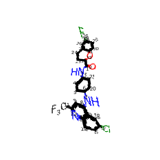 O=C(NC1=CC[C@H](Nc2cc(C(F)(F)F)nc3ccc(Cl)cc23)CC1)C1CCc2cc(F)ccc2O1